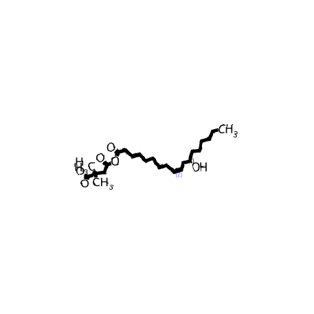 CCCCCC[C@@H](O)C/C=C\CCCCCCCC(=O)OC(=O)CC(C)(C)C(=O)O